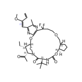 C=C/C(=C\c1nc2c(nc1C)C(F)(F)CCOC[C@@H]1CCC[C@H]1OC(=O)N[C@@H](C(C)(C)C)C(=O)N1C[C@H](O2)[C@@H](CC)[C@H]1C(C)=O)OC